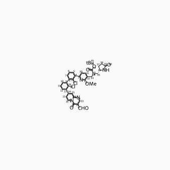 COc1nc(-c2cccc(-c3cccc(-c4ccn5c(=O)c(C=O)cnc5c4)c3Cl)c2Cl)ccc1CN(C[C@@H]1CCC(=O)N1)C(=O)OC(C)(C)C